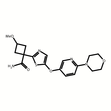 COC1CC(C(N)=O)(c2ncc(Oc3ccc(N4CCOCC4)nc3)s2)C1